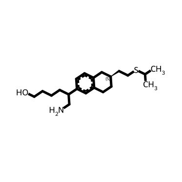 CC(C)SCC[C@H]1CCc2cc(C(CN)CCCCO)ccc2C1